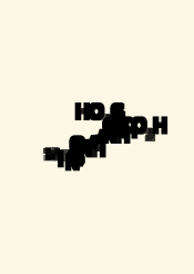 O=C(O)CC[C@H](NC(=O)NCCCCCNC(=O)c1ccnc([18F])c1)C(=O)O